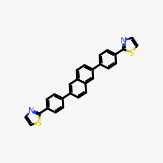 c1csc(-c2ccc(-c3ccc4cc(-c5ccc(-c6nccs6)cc5)ccc4c3)cc2)n1